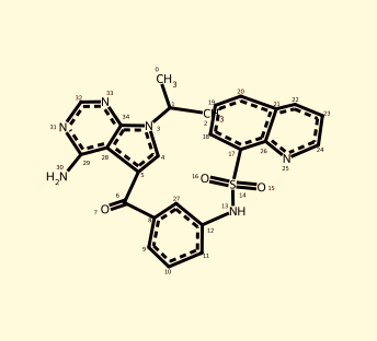 CC(C)n1cc(C(=O)c2cccc(NS(=O)(=O)c3cccc4cccnc34)c2)c2c(N)ncnc21